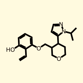 C=Cc1c(O)cccc1OCC1COCCC1c1ccnn1C(C)C